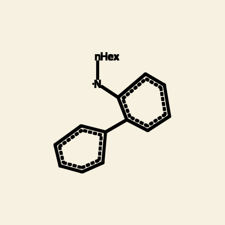 CCCCCC[N]c1ccccc1-c1ccccc1